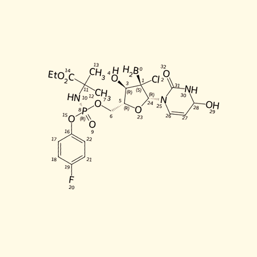 B[C@]1(Cl)[C@H](O)[C@@H](CO[P@](=O)(NC(C)(C)C(=O)OCC)Oc2ccc(F)cc2)O[C@H]1N1C=CC(O)NC1=O